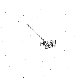 CCCCCCCCCCCCCCCCCCN[C@H](CS)C(=O)O